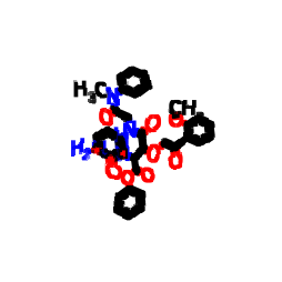 COc1ccccc1C(=O)COC(C(=O)N(CC(=O)N(C)c1ccccc1)c1ccccc1)C(NC(N)=O)C(=O)Oc1ccccc1